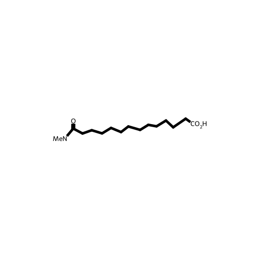 CNC(=O)CCCCCCCCCCCCC(=O)O